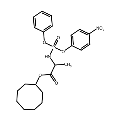 CC(NP(=O)(Oc1ccccc1)Oc1ccc([N+](=O)[O-])cc1)C(=O)OC1CCCCCCC1